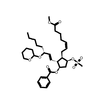 CCCCC[C@H](/C=C/[C@@H]1[C@@H](C/C=C\CCCC(=O)OC)[C@@H](OS(C)(=O)=O)C[C@H]1OC(=O)c1ccccc1)OC1CCCCO1